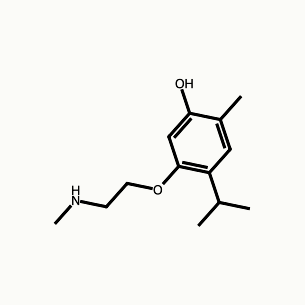 CNCCOc1cc(O)c(C)cc1C(C)C